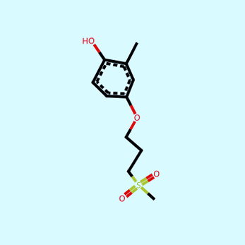 Cc1cc(OCCCS(C)(=O)=O)ccc1O